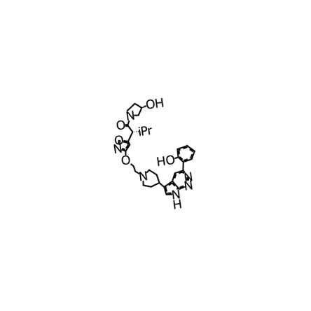 CC(C)[C@@H](C(=O)N1CC[C@@H](O)C1)c1cc(OCCN2CCC(c3c[nH]c4nnc(-c5ccccc5O)cc34)CC2)no1